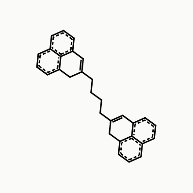 C1=C(CCCCC2=Cc3cccc4cccc(c34)C2)Cc2cccc3cccc1c23